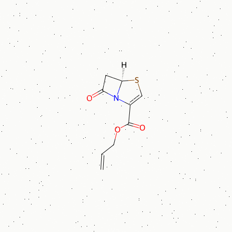 C=CCOC(=O)C1=CS[C@@H]2CC(=O)N12